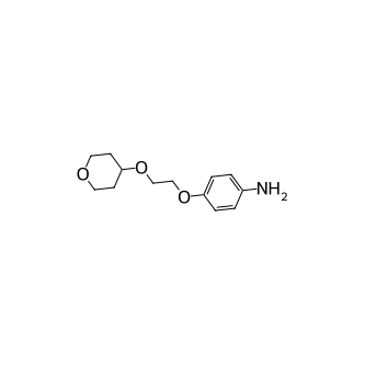 Nc1ccc(OCCOC2CCOCC2)cc1